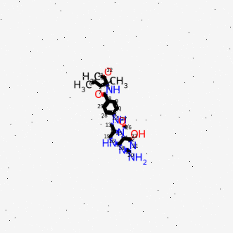 CCC[C@](C)(NC(=O)c1ccc(NCC2CNC3N=C(N)N=C(O)C3N2C=O)cc1)C(C)=O